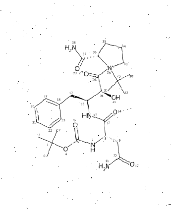 CC(C)(C)OC(=O)N[C@@H](CC(N)=O)C(=O)N[C@@H](Cc1ccccc1)[C@H](O)C(=O)[N+]1(C(C)(C)C)CCC[C@H]1C(N)=O